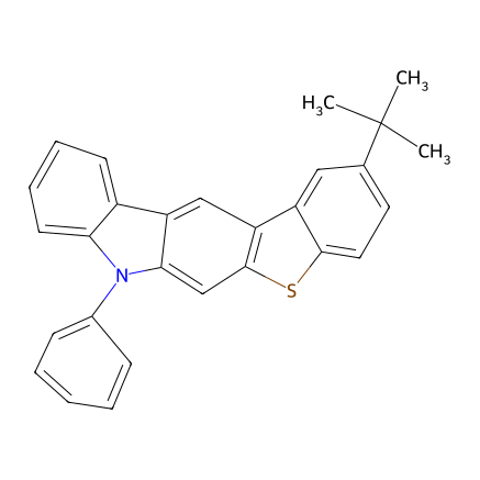 CC(C)(C)c1ccc2sc3cc4c(cc3c2c1)c1ccccc1n4-c1ccccc1